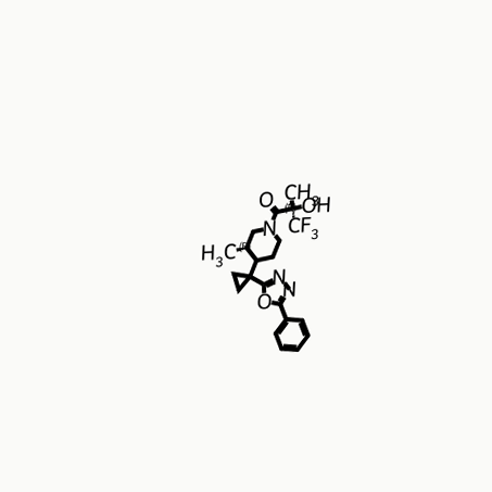 C[C@H]1CN(C(=O)[C@@](C)(O)C(F)(F)F)CCC1C1(c2nnc(-c3ccccc3)o2)CC1